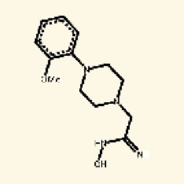 COc1ccccc1N1CCN(CC(=N)NO)CC1